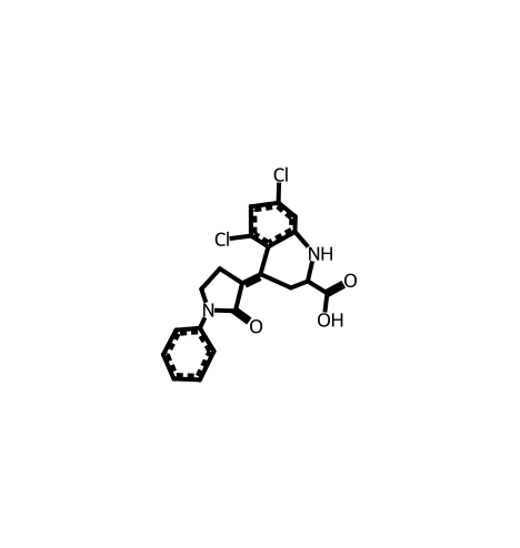 O=C(O)C1C/C(=C2/CCN(c3ccccc3)C2=O)c2c(Cl)cc(Cl)cc2N1